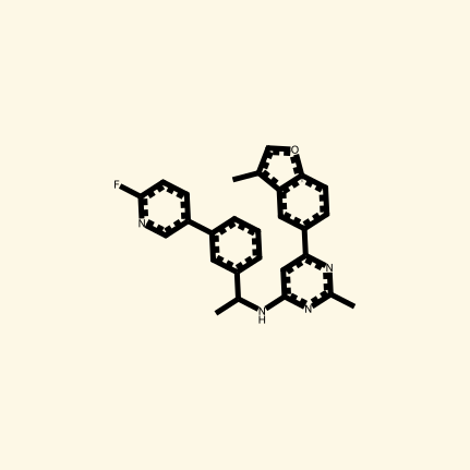 Cc1nc(NC(C)c2cccc(-c3ccc(F)nc3)c2)cc(-c2ccc3occ(C)c3c2)n1